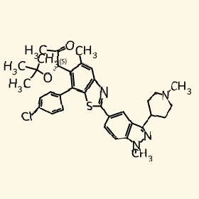 CC(=O)[C@@H](OC(C)(C)C)c1c(C)cc2nc(-c3ccc4c(c3)c(C3CCN(C)CC3)nn4C)sc2c1-c1ccc(Cl)cc1